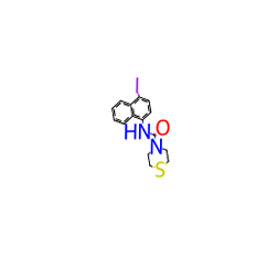 O=C(Nc1ccc(I)c2ccccc12)N1CCSCC1